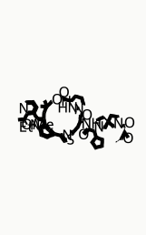 CCn1c(-c2cccnc2[C@H](C)OC)c2c3cc(ccc31)-c1csc(n1)C[C@H](NC(=O)C(C1CCCC1)N1CC[C@]3(CCN(C(=O)[C@@H]4O[C@@H]4C)C3)C1)C(=O)N1CCC[C@H](N1)C(=O)OCC(C)(C)C2